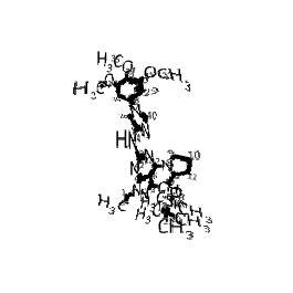 CCn1nc(C)c2c(N3CCCC3CO[Si](C)(C)C(C)(C)C)nc(Nc3cn(-c4cc(OC)c(OC)c(OC)c4)cn3)nc21